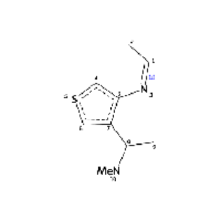 C/C=N\c1cscc1C(C)NC